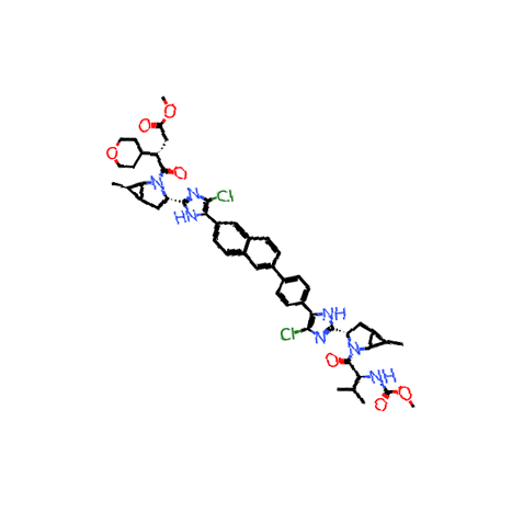 COC(=O)C[C@H](C(=O)N1C2C(C[C@H]1c1nc(Cl)c(-c3ccc4cc(-c5ccc(-c6[nH]c([C@@H]7CC8C(C)C8N7C(=O)[C@@H](NC(=O)OC)C(C)C)nc6Cl)cc5)ccc4c3)[nH]1)[C@H]2C)C1CCOCC1